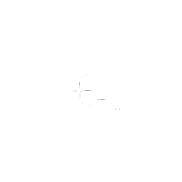 CCO[Si](CCOC(C)CC)(OCC)OCC